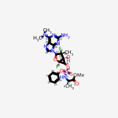 COC(=O)[C@@H](C)NP(=S)(Oc1ccccc1)OC1[C@]2(O)[C@@](C)(F)[C@H](n3cnc4c(N(C)C)nc(N)nc43)O[C@]12F